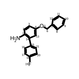 Nc1ccc(OCc2ccccc2)cc1-c1ccc(F)cc1